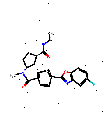 CCNC(=O)[C@@H]1CC[C@@H](N(C)C(=O)c2ccc(-c3nc4cc(F)ccc4o3)cc2)C1